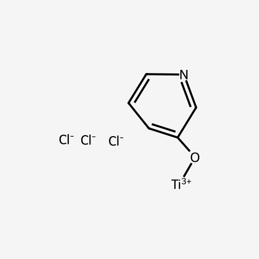 [Cl-].[Cl-].[Cl-].[Ti+3][O]c1cccnc1